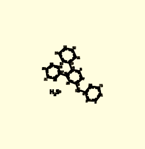 S.c1ccc(Sc2ccc(-c3ccccc3)c(-c3ccccc3)c2)cc1